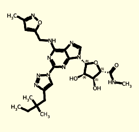 CCC(C)(C)Cc1cn(-c2nc(NCc3cc(C)no3)c3ncn([C@@H]4O[C@H](C(=O)NC)[C@@H](O)[C@H]4O)c3n2)nn1